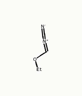 CCOC=[N+]=[N-]